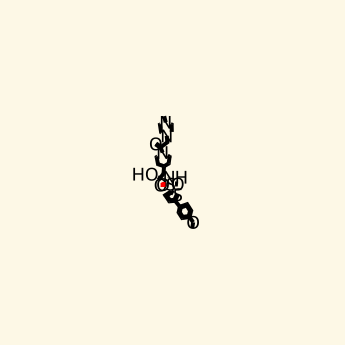 COc1ccc(-c2ccc(S(=O)(=O)N[C@@H](C(=O)O)C3CCN(C(=O)CN4CCN(C)CC4)CC3)s2)cc1